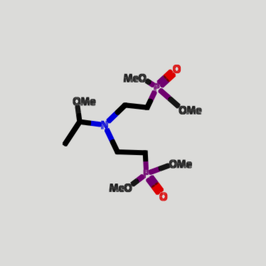 COC(C)N(CCP(=O)(OC)OC)CCP(=O)(OC)OC